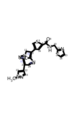 CC1=C(/c2csc(C(=O)NCc3nccs3)c2)C/N=N/C=C(c2cnn(C)c2)/C=N\1